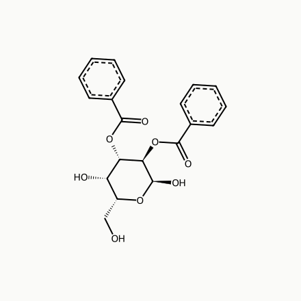 O=C(O[C@@H]1[C@@H](OC(=O)c2ccccc2)[C@@H](O)[C@@H](CO)O[C@@H]1O)c1ccccc1